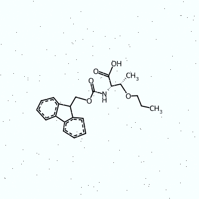 CCCO[C@@H](C)[C@H](NC(=O)OCC1c2ccccc2-c2ccccc21)C(=O)O